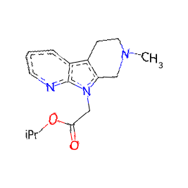 CC(C)OC(=O)Cn1c2c(c3cccnc31)CCN(C)C2